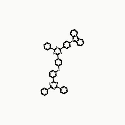 c1ccc(-c2nc(-c3ccc(Oc4cccc(-c5nc(-c6ccccc6)nc(-c6ccccc6)n5)c4)cc3)nc(-c3ccc(-n4c5ccccc5c5ccccc54)cc3)n2)cc1